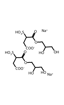 O=C([O-])CC(C(=O)OCC(O)CO)S(=O)(=O)O.O=C([O-])CC(C(=O)OCC(O)CO)S(=O)(=O)O.[Na+].[Na+]